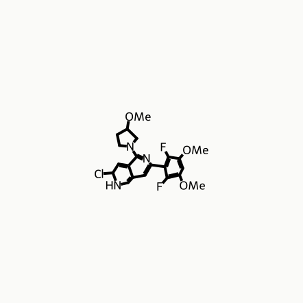 COc1cc(OC)c(F)c(-c2cc3c(c(N4CCC(OC)C4)n2)=CC(Cl)NC=3)c1F